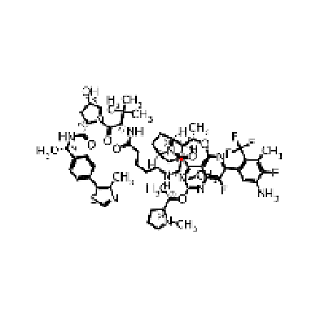 CC[C@H](NCCCCC(=O)N[C@H](C(=O)N1C[C@H](O)C[C@H]1C(=O)N[C@@H](C)c1ccc(-c2scnc2C)cc1)C(C)(C)C)C(=O)N1[C@@H]2CC[C@H]1[C@H]1[C@H](C)Oc3nc(-c4cc(N)c(F)c(C)c4C(F)(F)F)c(F)c4nc(O[C@@H](C)[C@@H]5CCCN5C)nc(c34)N1C2